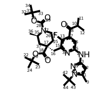 Cc1cc(Nc2cc(C(=O)C(C)C)c(F)c(C[C@@]3(C(=O)OC(C)(C)C)CCN(C(=O)OC(C)(C)C)[C@H](C)C3)n2)nn1C(C)(C)C